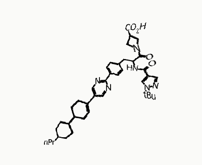 CCCC1CCC(C2CC=C(c3cnc(-c4ccc(CC(NC(=O)c5cnn(C(C)(C)C)c5)C(=O)N5CC(C(=O)O)C5)cc4)nc3)CC2)CC1